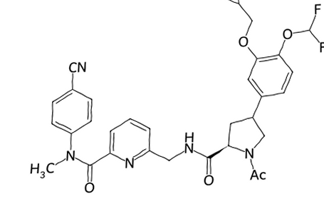 CC(=O)N1CC(c2ccc(OC(F)F)c(OCC3CC3)c2)C[C@@H]1C(=O)NCc1cccc(C(=O)N(C)c2ccc(C#N)cc2)n1